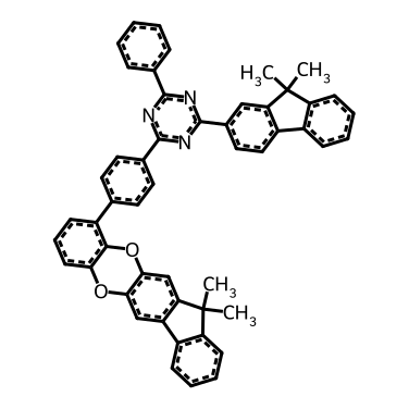 CC1(C)c2ccccc2-c2ccc(-c3nc(-c4ccccc4)nc(-c4ccc(-c5cccc6c5Oc5cc7c(cc5O6)-c5ccccc5C7(C)C)cc4)n3)cc21